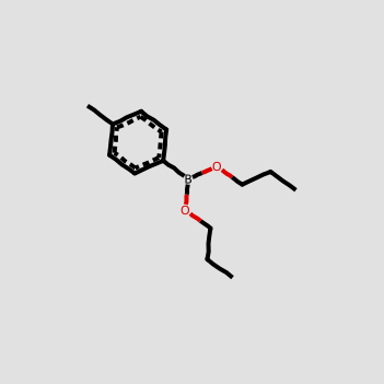 CCCOB(OCCC)c1ccc(C)cc1